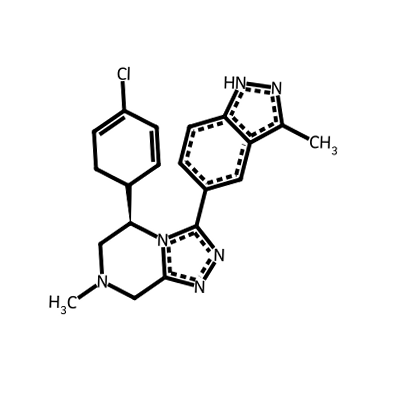 Cc1n[nH]c2ccc(-c3nnc4n3[C@H](C3C=CC(Cl)=CC3)CN(C)C4)cc12